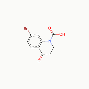 O=C1CCN(C(=O)O)c2cc(Br)ccc21